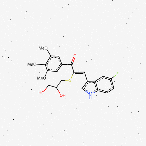 COc1cc(C(=O)/C(=C/c2c[nH]c3ccc(F)cc23)SCC(O)CO)cc(OC)c1OC